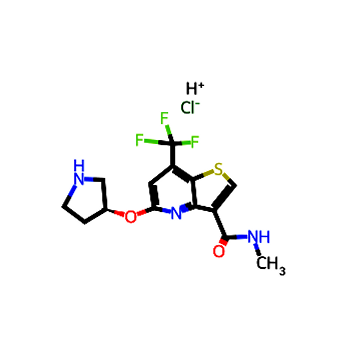 CNC(=O)c1csc2c(C(F)(F)F)cc(O[C@H]3CCNC3)nc12.[Cl-].[H+]